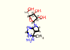 CC1(N)N=CN=C2C1=CCN2[C@@H]1O[C@H](CO)[C@@H](O)[C@H]1O